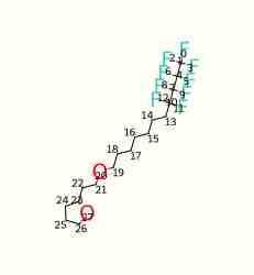 FC(F)(F)C(F)(F)C(F)(F)C(F)(F)CCCCCCCOCCC1CCCO1